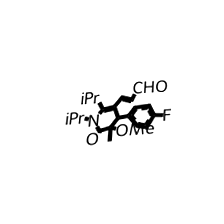 COC1(C)C(=O)N(C(C)C)C(C(C)C)=C(C=CC=O)C1c1ccc(F)cc1